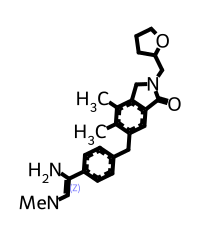 CN/C=C(\N)c1ccc(Cc2cc3c(c(C)c2C)CN(CC2CCCO2)C3=O)cc1